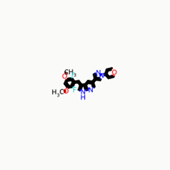 COc1cc(OC)c(F)c(Cc2c[nH]c3ncc(-c4cnn(C5CCOCC5)c4)cc23)c1F